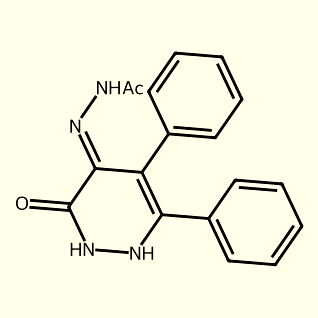 CC(=O)NN=c1c(-c2ccccc2)c(-c2ccccc2)[nH][nH]c1=O